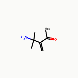 C=C(C(=O)C(C)(C)C)C(C)(C)N